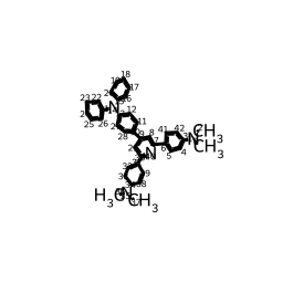 CN(C)c1ccc(-c2cc(-c3ccc(N(c4ccccc4)c4ccccc4)cc3)cc(C3=CCC(N(C)C)C=C3)n2)cc1